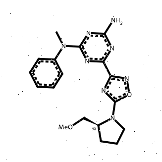 COC[C@@H]1CCCN1c1nc(-c2nc(N)nc(N(C)c3ccccc3)n2)no1